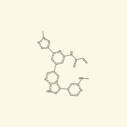 C=CC(=O)Nc1cc(-c2cnc3[nH]cc(-c4ccnc(NC)c4)c3c2)cc(-c2cnn(C)c2)n1